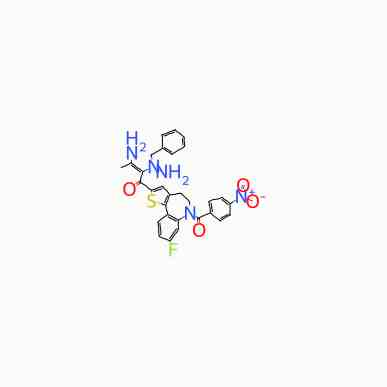 C/C(N)=C(\C(=O)c1cc2c(s1)-c1ccc(F)cc1N(C(=O)c1ccc([N+](=O)[O-])cc1)CC2)N(N)Cc1ccccc1